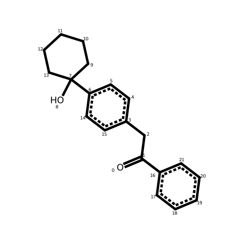 O=C(Cc1ccc(C2(O)CCCCC2)cc1)c1ccccc1